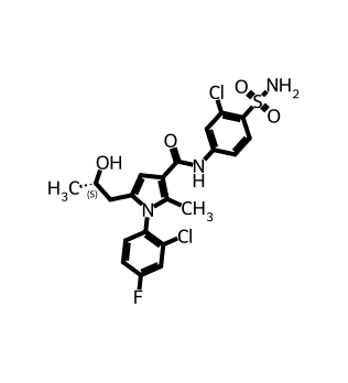 Cc1c(C(=O)Nc2ccc(S(N)(=O)=O)c(Cl)c2)cc(C[C@H](C)O)n1-c1ccc(F)cc1Cl